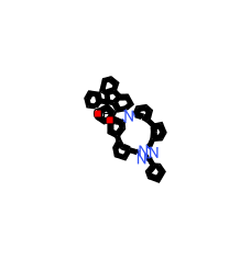 CC1CC=CC=C1[C@@]1(c2ccccc2)C2=CC(N3c4cccc(c4)C4=CCCC(=C4)c4nc(C5=CC=C=C=C5)nc(n4)-c4cccc(c4)-c4cccc3c4)CC=C2C2=C1CCC=C2